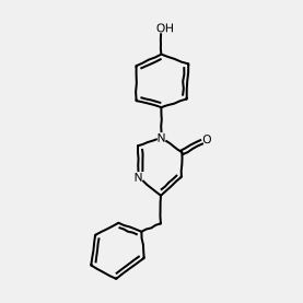 O=c1cc(Cc2ccccc2)ncn1-c1ccc(O)cc1